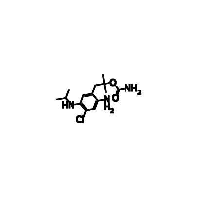 CC(C)Nc1cc(CC(C)(C)OC(N)=O)c(N)cc1Cl